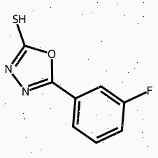 Fc1cccc(-c2nnc(S)o2)c1